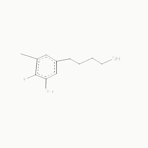 Cc1cc(CCCCN)cc(C(C)(C)C)c1F